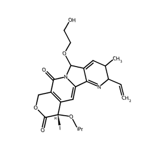 C=CC1N=C2C(=CC1C)C(OCCO)n1c2cc2c(c1=O)COC(=O)[C@@]2(I)OC(C)C